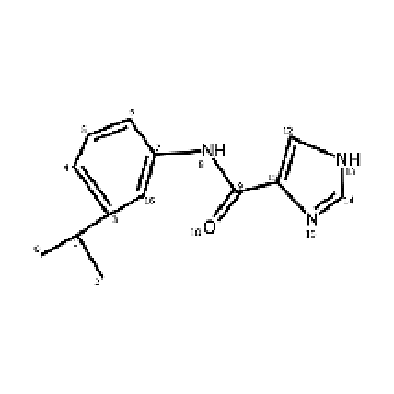 CC(C)c1cccc(NC(=O)c2c[nH]cn2)c1